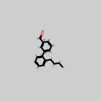 CCCCc1ccccc1-c1cccc(C=O)c1